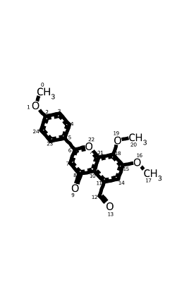 COc1ccc(-c2cc(=O)c3c(C=O)cc(OC)c(OC)c3o2)cc1